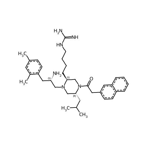 Cc1ccc(C[C@H](N)CN2C[C@@H](CC(C)C)N(C(=O)Cc3ccc4ccccc4c3)C[C@@H]2CCCCNC(=N)N)c(C)c1